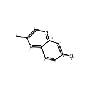 CCc1ccc2nc(C)cnc2c1